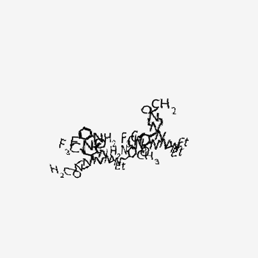 C=CC(=O)N1CCN(c2nc(N3CC(N(CC)CCc4cc(C)c(-n5c(C(F)(F)F)cc6c(N7CCN(C(=O)C=C)CC7)nc(N7CC(N(CC)CC)C7)nc6c5=O)c(C)c4N)C3)nc3c(=O)n(-c4c(N)cccc4F)c(C(F)(F)F)cc23)CC1